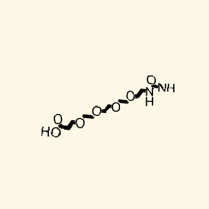 [NH]C(=O)NCCOCCOCCOCCOCCC(=O)O